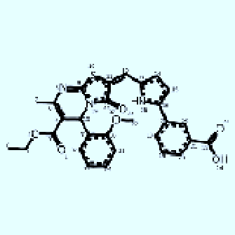 CCOC(=O)C1=C(C)N=c2s/c(=C/c3ccc(-c4cccc(C(=O)O)c4)[nH]3)c(=O)n2C1c1ccccc1OC